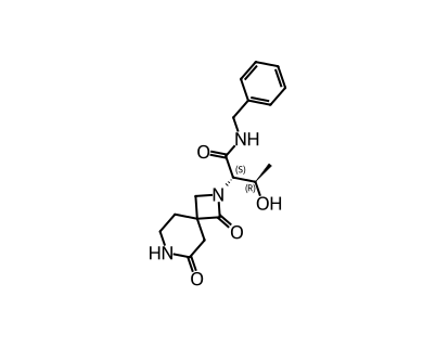 C[C@@H](O)[C@@H](C(=O)NCc1ccccc1)N1CC2(CCNC(=O)C2)C1=O